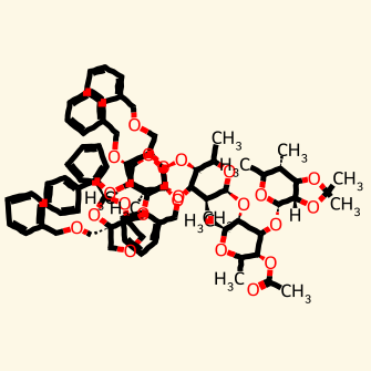 CC(=O)O[C@H]1C(C)O[C@@H](C)[C@H](O[C@@H]2OC(C)[C@H](O[C@@H]3OC[C@@H](C)C(OC45COC[C@@]4(COCc4ccccc4)O[C@@H](c4ccccc4)O5)[C@H]3OCc3ccccc3)C(O[C@@H]3OC(COCc4ccccc4)[C@@H](OCc4ccccc4)C(OCc4ccccc4)[C@H]3C)[C@@H]2C)C1O[C@@H]1OC(C)[C@H](C)C2OC(C)(C)O[C@@H]21